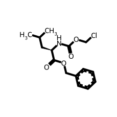 CC(C)C[C@@H](NC(=O)OCCl)C(=O)OCc1ccccc1